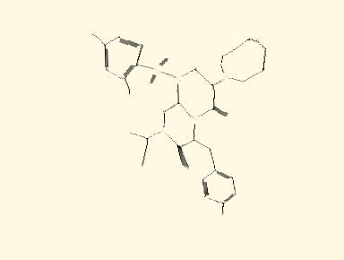 CC(C)N1CC2N(C(=O)C(N3CCCCC3)CN2S(=O)(=O)c2ccc(Cl)cc2Cl)C(Cc2ccc(Cl)cc2)C1=O